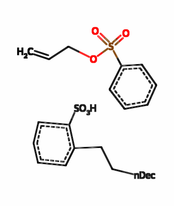 C=CCOS(=O)(=O)c1ccccc1.CCCCCCCCCCCCc1ccccc1S(=O)(=O)O